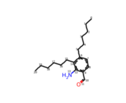 CCCCCCc1ccc(C=O)c(N)c1CCCCCC